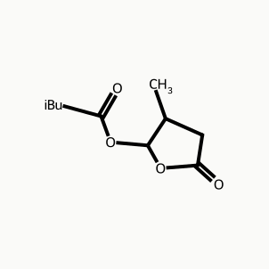 CCC(C)C(=O)OC1OC(=O)CC1C